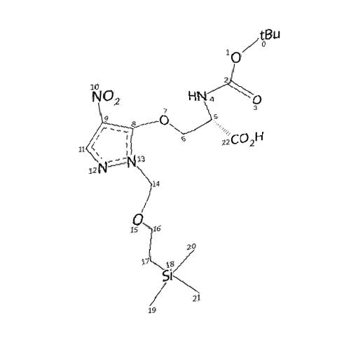 CC(C)(C)OC(=O)N[C@@H](COc1c([N+](=O)[O-])cnn1COCC[Si](C)(C)C)C(=O)O